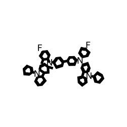 CC1C=C(F)C=CC1N(c1ccc(C2C=CC(N(c3ccc(F)cc3)c3ccc4c(c3)c3ccccc3n4-c3ccccc3)=CC2)cc1)C1(C)C=CC2C(C1)C1C=CC=CC1N2c1ccccc1